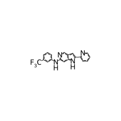 FC(F)(F)c1cccc(Nc2cc3[nH]c(-c4ccccn4)cc3cn2)c1